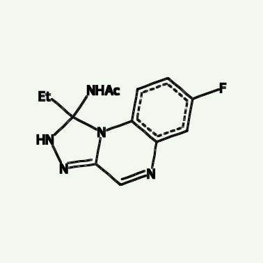 CCC1(NC(C)=O)NN=C2C=Nc3cc(F)ccc3N21